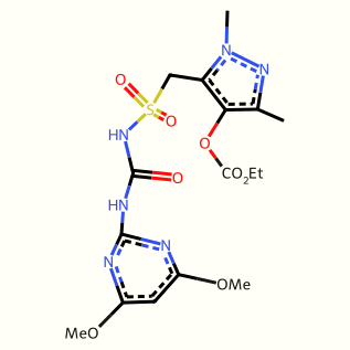 CCOC(=O)Oc1c(C)nn(C)c1CS(=O)(=O)NC(=O)Nc1nc(OC)cc(OC)n1